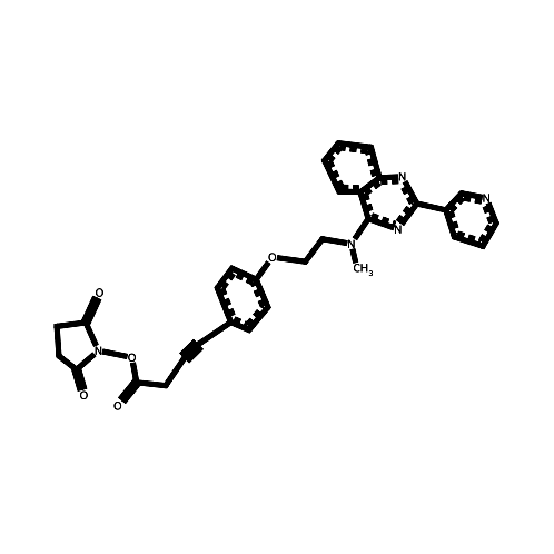 CN(CCOc1ccc(C#CCC(=O)ON2C(=O)CCC2=O)cc1)c1nc(-c2cccnc2)nc2ccccc12